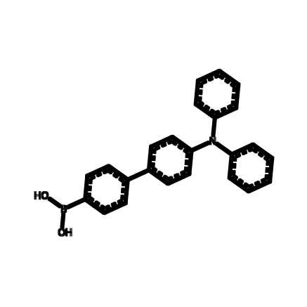 OB(O)c1ccc(-c2ccc(N(c3ccccc3)c3ccccc3)cc2)cc1